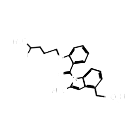 Cc1cc2c(CC(=O)O)cccc2n1C(=O)c1ccccc1OCCCC(C)I